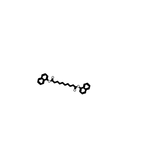 O=C(CCCCCCCCC(=O)Oc1cccc2ccccc12)Oc1cccc2ccccc12